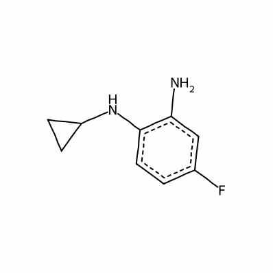 Nc1cc(F)ccc1NC1CC1